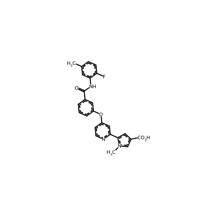 Cc1ccc(F)c(NC(=O)c2cccc(Oc3ccnc(-c4cc(C(=O)O)cn4C)c3)c2)c1